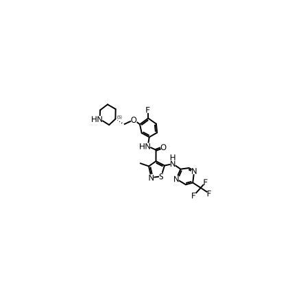 Cc1nsc(Nc2cnc(C(F)(F)F)cn2)c1C(=O)Nc1ccc(F)c(OC[C@H]2CCCNC2)c1